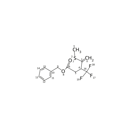 C=C(SC)C(CC(=O)OCc1ccccc1)C(F)(F)F